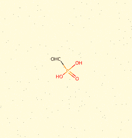 O=[C]P(=O)(O)O